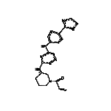 C=CC(=O)N1CCC[C@@H](Nc2nncc(Nc3ccc(-c4ncco4)cc3)n2)C1